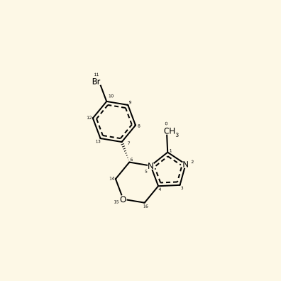 Cc1ncc2n1[C@@H](c1ccc(Br)cc1)COC2